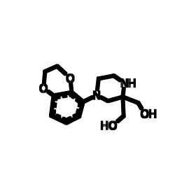 OCC1(CO)CN(c2cccc3c2OCCO3)CCN1